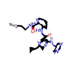 COCCNC(=O)c1ncccc1NC(=O)c1nc(C2CC2)cnc1Nc1cncnc1